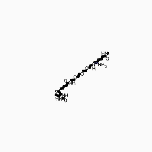 CNC(=O)CCC/C(N)=C/NCCOCCOCCOCCNC(=O)CCCC[C@H]1SCC2NC(=O)NC21